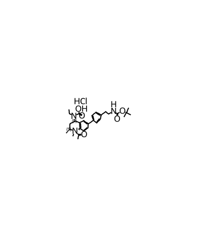 CCN(C(=O)O)[C@@H]1C[C@H](C)[N+](C)(C(C)=O)c2ccc(-c3ccc(CCNC(=O)OC(C)(C)C)cc3)cc21.Cl